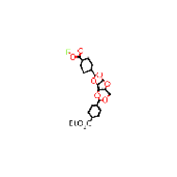 CCOC(=O)C1CCC(C2OCC3OC4OC(C5CCC(C(=O)OF)CC5)OC4C3O2)CC1